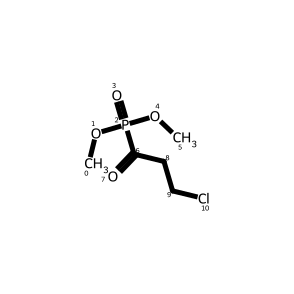 COP(=O)(OC)C(=O)CCCl